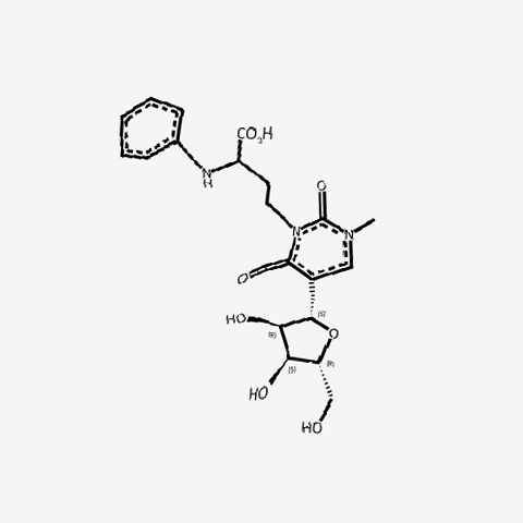 Cn1cc([C@@H]2O[C@H](CO)[C@@H](O)[C@H]2O)c(=O)n(CCC(Nc2ccccc2)C(=O)O)c1=O